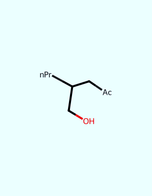 CCCC(CO)CC(C)=O